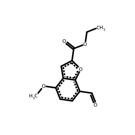 CCOC(=O)c1cc2c(OC)ccc(C=O)c2o1